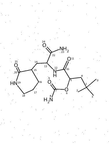 CC(C)(C)CC(OC(N)=O)C(=O)NC(CC1CCCNC1=O)C(N)=O